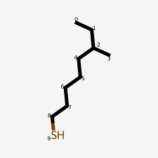 CCC(C)CCCCCS